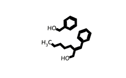 CCCCC/C(=C\c1ccccc1)CO.OCc1ccccc1